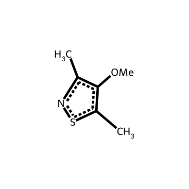 COc1c(C)nsc1C